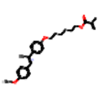 C=C(C)C(=O)OCCCCCCOc1ccc(/C(C#N)=C/c2ccc(OCCCCCCCCCC)cc2)cc1